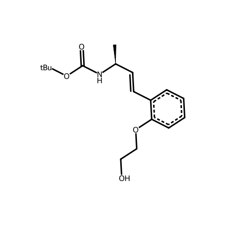 C[C@@H](/C=C/c1ccccc1OCCO)NC(=O)OC(C)(C)C